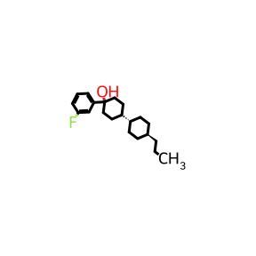 CCC[C@H]1CC[C@H](C2CCC(O)(c3cccc(F)c3)CC2)CC1